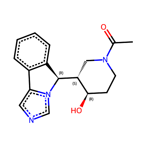 CC(=O)N1CC[C@@H](O)[C@H]([C@@H]2c3ccccc3-c3cncn32)C1